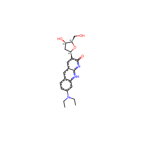 CCN(CC)c1ccc2cc3cc([C@H]4C[C@@H](O)[C@@H](CO)O4)c(=O)nc-3[nH]c2c1